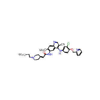 COCCN1CCC(=CC(=O)Nc2cc3c(Nc4ccc(OCc5ccccn5)c(Cl)c4)c(C#N)cnc3cc2OC)CC1